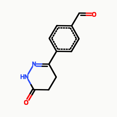 O=Cc1ccc(C2=NNC(=O)CC2)cc1